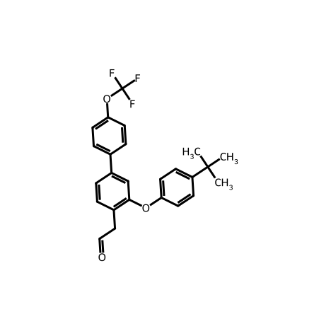 CC(C)(C)c1ccc(Oc2cc(-c3ccc(OC(F)(F)F)cc3)ccc2CC=O)cc1